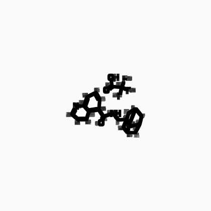 O=C(NCC12CC3CC(CC(C3)C1)C2)c1cccc2ncccc12.O=C(O)C(F)(F)F